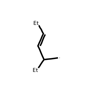 [CH2]C(C=CCC)CC